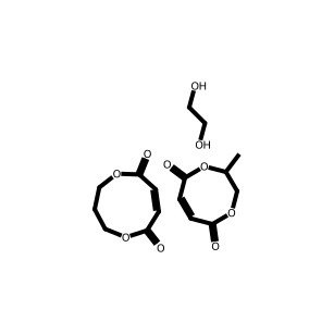 CC1COC(=O)C=CC(=O)O1.O=C1C=CC(=O)OCCCO1.OCCO